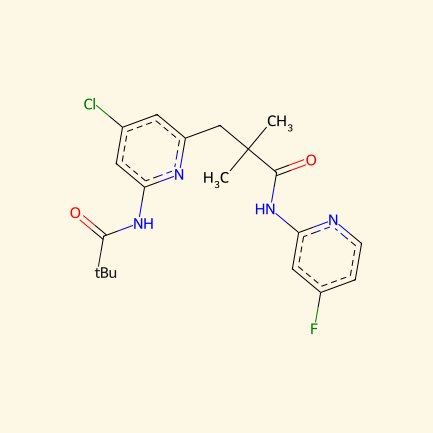 CC(C)(C)C(=O)Nc1cc(Cl)cc(CC(C)(C)C(=O)Nc2cc(F)ccn2)n1